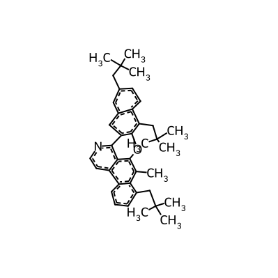 Cc1c2c3c(nccc3c3cccc(CC(C)(C)C)c13)-c1cc3cc(CC(C)(C)C)ccc3c(CC(C)(C)C)c1O2